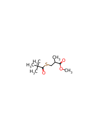 COC(=O)C(C)CSC(=O)C(C)(C)C